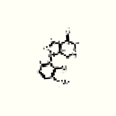 COc1cccc(-n2ncc3c2COCC3=O)c1Cl